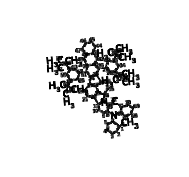 Cc1ccccc1N(c1ccc2c(c1)-c1ccc3c4c(ccc-2c14)-c1c-3c(-c2cc(C(C)(C)C)cc(C(C)(C)C)c2)c2cc3ccccc3cc2c1-c1cc(C(C)(C)C)cc(C(C)(C)C)c1)c1ccccc1C